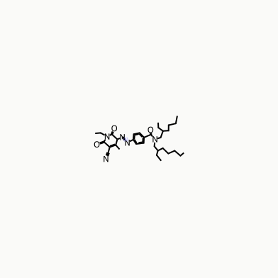 CCCCCC(CC)CN(CC(CC)CCCC)C(=O)c1ccc(/N=N/C2C(=O)N(CC)C(=O)C(C#N)=C2C)cc1